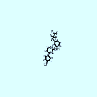 FC(F)C(F)(F)Oc1cccc(Nc2nccc(-c3ccc(Cl)cc3)n2)c1